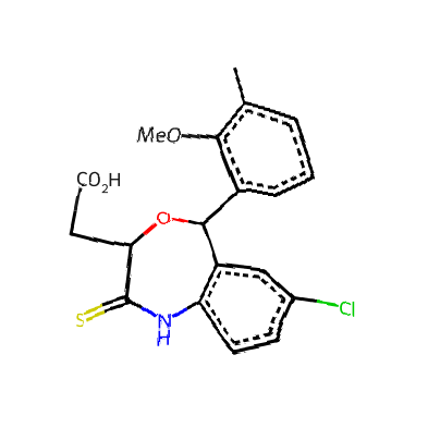 COc1c(C)cccc1C1OC(CC(=O)O)C(=S)Nc2ccc(Cl)cc21